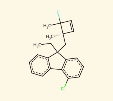 CCC1(C[C@]2(C)C=CC2(C)F)c2ccccc2-c2c(Cl)cccc21